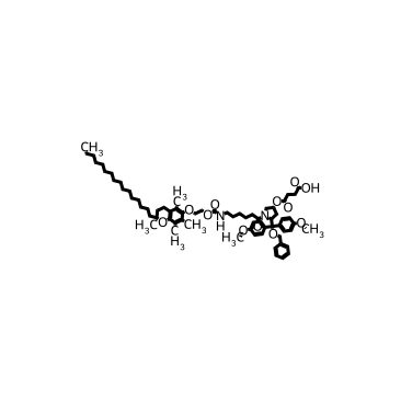 CCCCCCCCCCCCCCCCC1(C)CCc2c(C)c(OCCOC(=O)NCCCCCC(=O)N3CC(OC(=O)CCC(=O)O)CC3C(OCc3ccccc3)(c3ccc(OC)cc3)c3ccc(OC)cc3)c(C)c(C)c2O1